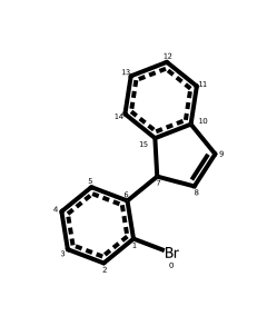 Brc1ccccc1C1C=Cc2ccccc21